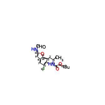 CC(Cc1cc(F)cc2cc(NC=O)oc12)NC(=O)OC(C)(C)C